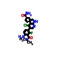 CN(C)C(=O)c1c(N)ccc(-c2cnc3c(c2Cl)[C@@]2(CC[C@@H](C(N)=O)C2)CN3)c1F